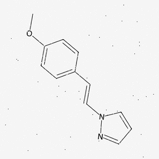 COc1ccc(C=Cn2cccn2)cc1